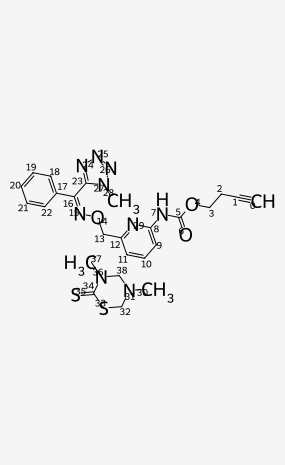 C#CCCOC(=O)Nc1cccc(CO/N=C(/c2ccccc2)c2nnnn2C)n1.CN1CSC(=S)N(C)C1